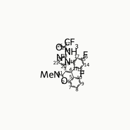 CNC(=O)/C=C(\c1ccccc1)c1c(F)cc(F)cc1-n1ccnc1NC(=O)C(F)(F)F